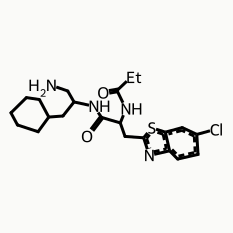 CCC(=O)NC(Cc1nc2ccc(Cl)cc2s1)C(=O)NC(CN)CC1CCCCC1